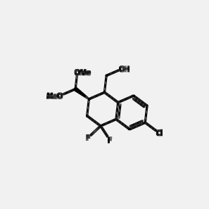 COC(OC)[C@@H]1CC(F)(F)c2cc(Cl)ccc2C1CO